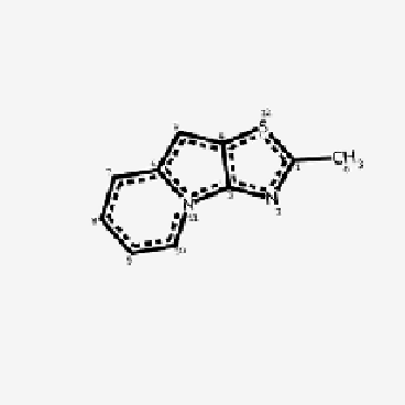 Cc1nc2c(cc3ccccn32)s1